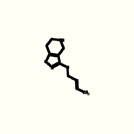 C/C=C/COc1noc2c1CNCC2